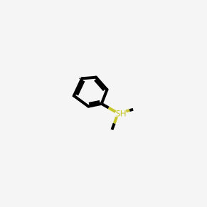 C[SH](C)c1cc[c]cc1